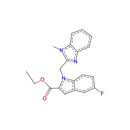 CCOC(=O)c1cc2cc(F)ccc2n1Cc1nc2ccccc2n1C